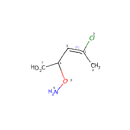 C/C(Cl)=C\C(ON)C(=O)O